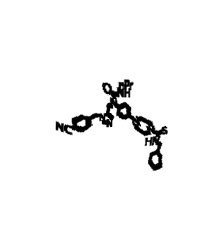 CCCNC(=O)N(Cc1cncn1Cc1ccc(C#N)cc1)c1ccc(N2CCN(C(=S)NCC3CCCCC3)CC2)cc1